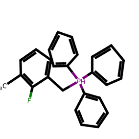 Cc1cccc(C[PH](c2ccccc2)(c2ccccc2)c2ccccc2)c1F